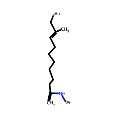 C=C(CCCCCC/C=C(\C)CC(C)CC)NC(C)C